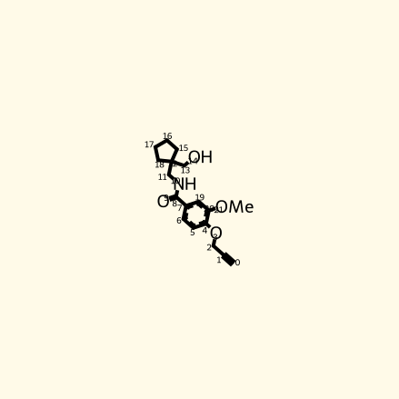 C#CCOc1ccc(C(=O)NCC2(CO)CCCC2)cc1OC